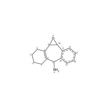 NC1C2=C(CCCC2)C2OC2c2ccccc21